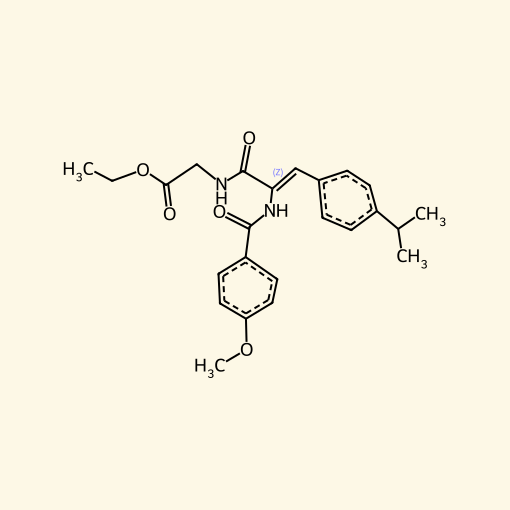 CCOC(=O)CNC(=O)/C(=C/c1ccc(C(C)C)cc1)NC(=O)c1ccc(OC)cc1